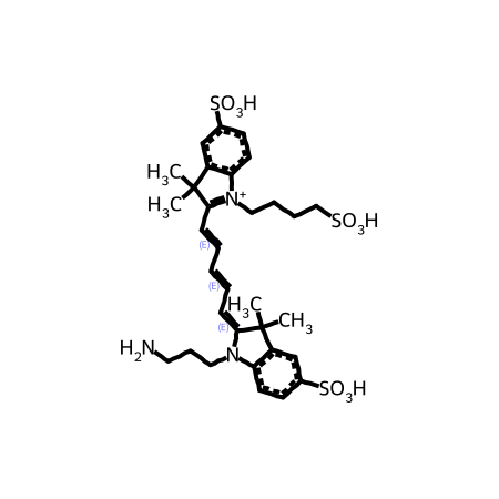 CC1(C)C(/C=C/C=C/C=C2/N(CCCN)c3ccc(S(=O)(=O)O)cc3C2(C)C)=[N+](CCCCS(=O)(=O)O)c2ccc(S(=O)(=O)O)cc21